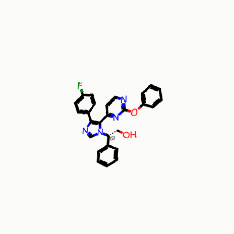 OC[C@H](c1ccccc1)n1cnc(-c2ccc(F)cc2)c1-c1ccnc(Oc2ccccc2)n1